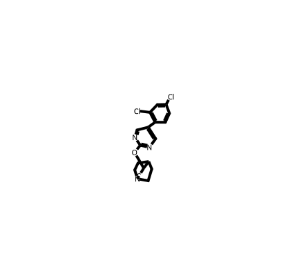 Clc1ccc(-c2cnc(OC3CN4CCC3CC4)nc2)c(Cl)c1